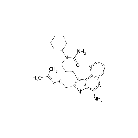 CC(C)=NOCc1nc2c(N)nc3cccnc3c2n1CCCN(C(N)=O)C1CCCCC1